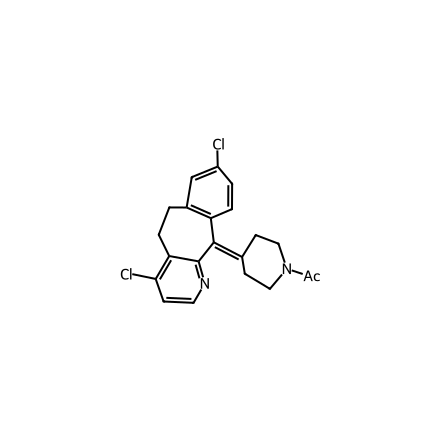 CC(=O)N1CCC(=C2c3ccc(Cl)cc3CCc3c(Cl)ccnc32)CC1